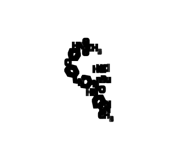 CCCCN(C(=O)Nc1ccc2c(c1)nnn2C)C1CCN(Cc2ccc(Oc3ccc(NS(C)(=O)=O)cc3)cc2)CC1.Cl.Cl